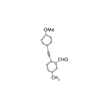 COc1ccc(C#Cc2ccc(C)cc2C=O)cc1